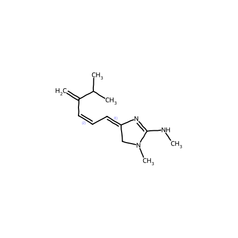 C=C(/C=C\C=C1/CN(C)C(NC)=N1)C(C)C